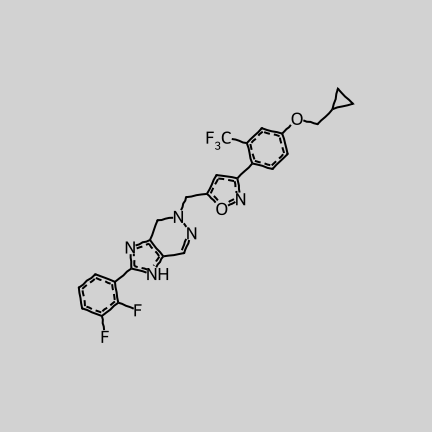 Fc1cccc(-c2nc3c([nH]2)C=NN(Cc2cc(-c4ccc(OCC5CC5)cc4C(F)(F)F)no2)C3)c1F